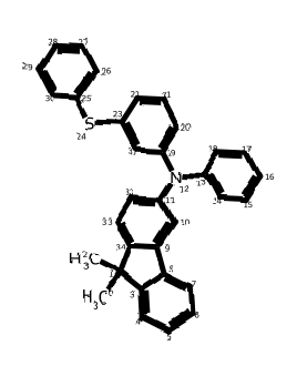 CC1(C)c2ccccc2-c2cc(N(c3ccccc3)c3cccc(Sc4ccccc4)c3)ccc21